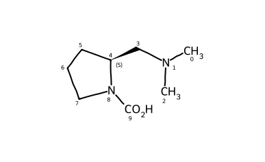 CN(C)C[C@@H]1CCCN1C(=O)O